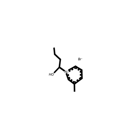 CCCC(O)[n+]1cccc(C)c1.[Br-]